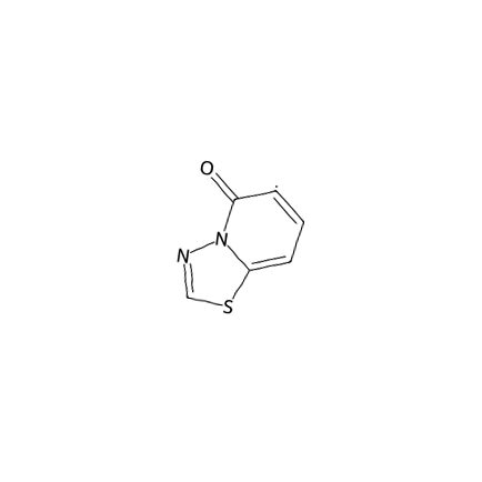 O=c1[c]ccc2scnn12